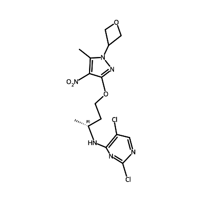 Cc1c([N+](=O)[O-])c(OCC[C@@H](C)Nc2nc(Cl)ncc2Cl)nn1C1COC1